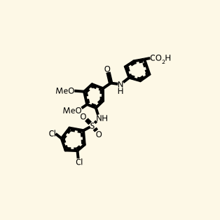 COc1cc(C(=O)Nc2ccc(C(=O)O)cc2)cc(NS(=O)(=O)c2cc(Cl)cc(Cl)c2)c1OC